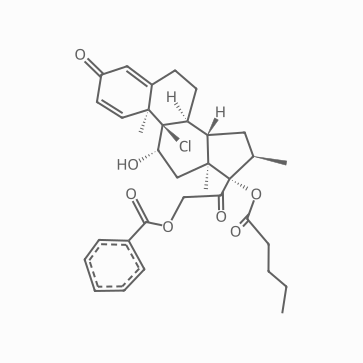 CCCCC(=O)O[C@@]1(C(=O)COC(=O)c2ccccc2)[C@H](C)C[C@H]2[C@@H]3CCC4=CC(=O)C=C[C@]4(C)[C@@]3(Cl)[C@@H](O)C[C@@]21C